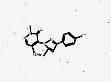 COc1cnn(C)c(=O)c1-n1nc(-c2ccc(C(F)(F)F)cc2)cc1C